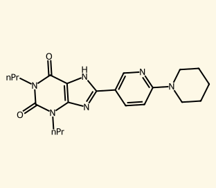 CCCn1c(=O)c2[nH]c(-c3ccc(N4CCCCC4)nc3)nc2n(CCC)c1=O